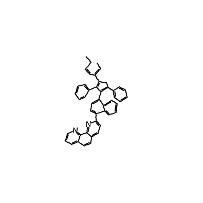 C/C=C(\C=C/CC)C1=C(c2ccccc2)C(c2ccc(-c3ccc4ccc5cccnc5c4n3)c3ccccc23)=C(c2ccccc2)C1